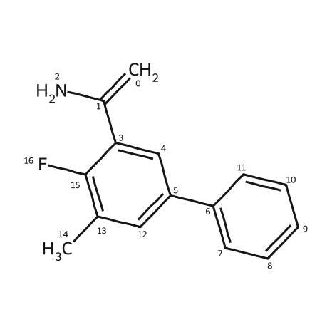 C=C(N)c1cc(-c2ccccc2)cc(C)c1F